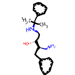 CC(C)(NC[C@@H](O)[C@@H](N)Cc1ccccc1)c1ccccc1